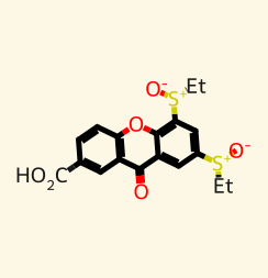 CC[S+]([O-])c1cc([S+]([O-])CC)c2oc3ccc(C(=O)O)cc3c(=O)c2c1